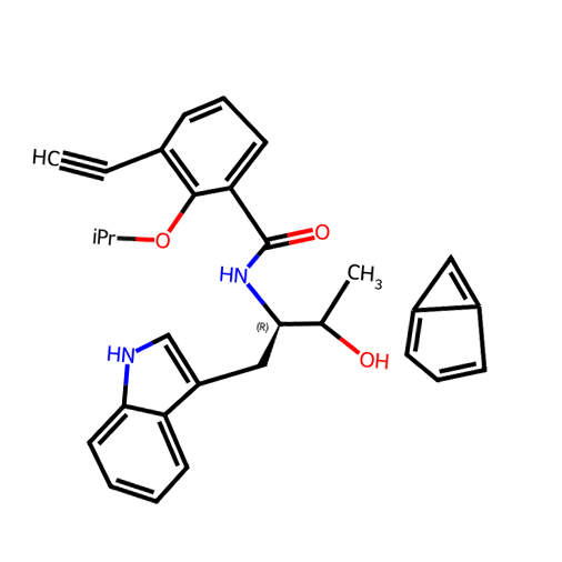 C#Cc1cccc(C(=O)N[C@H](Cc2c[nH]c3ccccc23)C(C)O)c1OC(C)C.c1cc2cc-2c1